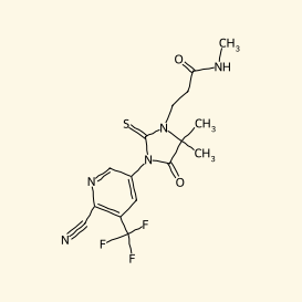 CNC(=O)CCN1C(=S)N(c2cnc(C#N)c(C(F)(F)F)c2)C(=O)C1(C)C